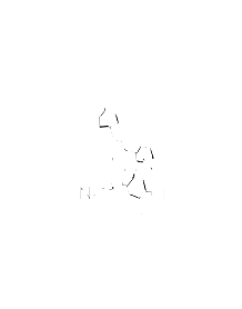 CN(C)CCCOc1cc(Cl)c(Cl)cc1Oc1ncccc1C(=O)CCc1ccc(Cl)cc1